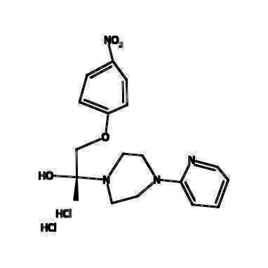 C[C@@](O)(COc1ccc([N+](=O)[O-])cc1)N1CCN(c2ccccn2)CC1.Cl.Cl